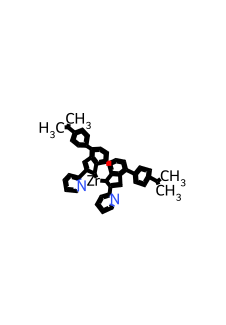 CC(C)c1ccc(-c2cccc3c2C=C(c2ccccn2)[CH]3[Zr][CH]2C(c3ccccn3)=Cc3c(-c4ccc(C(C)C)cc4)cccc32)cc1